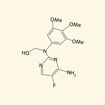 COc1cc(N(CO)c2ncc(F)c(N)n2)cc(OC)c1OC